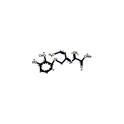 C=C(/N=C(\C=C/C)COc1cccc(O)c1C=O)C(=O)OC